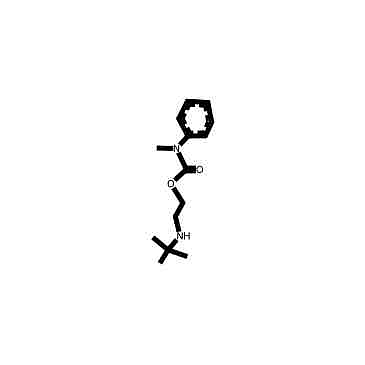 CN(C(=O)OCCNC(C)(C)C)c1ccccc1